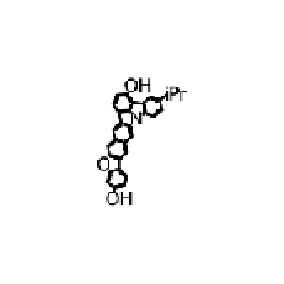 CC(C)c1ccc2c(c1)c1c(O)ccc3c4cc5cc6oc7cc(O)ccc7c6cc5cc4n2c31